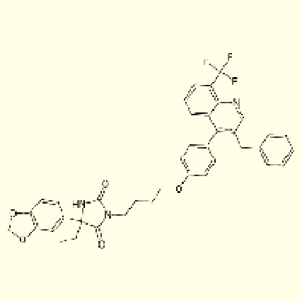 CCC1(c2ccc3c(c2)OCO3)NC(=O)N(CCCCOc2ccc(-c3c(Cc4ccccc4)cnc4c(C(F)(F)F)cccc34)cc2)C1=O